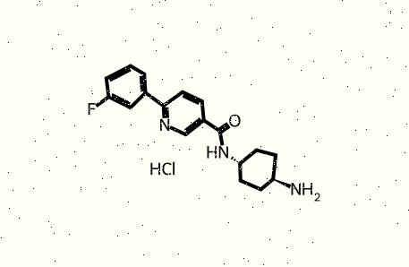 Cl.N[C@H]1CC[C@H](NC(=O)c2ccc(-c3cccc(F)c3)nc2)CC1